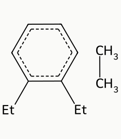 CC.CCc1ccccc1CC